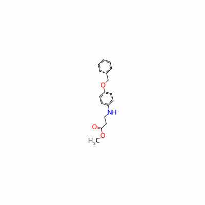 COC(=O)CCNc1ccc(OCc2ccccc2)cc1